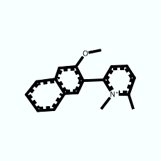 COc1cc2ccccc2cc1-c1cccc(C)[n+]1C